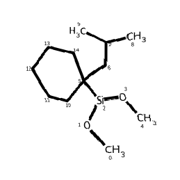 CO[Si](OC)C1(CC(C)C)CCCCC1